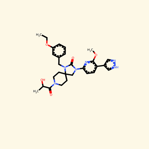 CCOc1cccc(CN2C(=O)N(c3ccc(-c4cn[nH]c4)c(OC)n3)CC23CCN(C(=O)C(C)O)CC3)c1